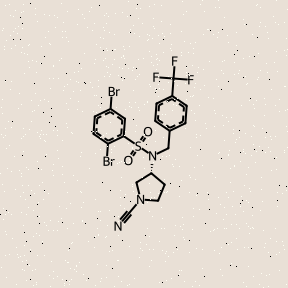 N#CN1CC[C@@H](N(Cc2ccc(C(F)(F)F)cc2)S(=O)(=O)c2cc(Br)ccc2Br)C1